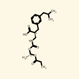 CCC(=O)O[C@H](C)OC(=O)NC[C@H](Cc1cccc(CC(C)C)c1)C(=O)O